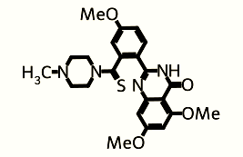 COc1ccc(-c2nc3cc(OC)cc(OC)c3c(=O)[nH]2)c(C(=S)N2CCN(C)CC2)c1